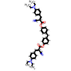 CCN(CC)c1ccc(/C=C(\C#N)C(=O)Oc2ccc(Cc3ccc(OC(=O)/C(C#N)=C/c4ccc(N(CC)CC)cc4)cc3)cc2)cc1